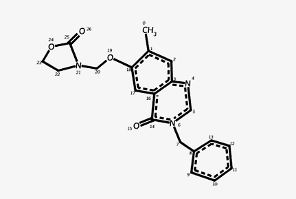 Cc1cc2ncn(Cc3ccccc3)c(=O)c2cc1OCN1CCOC1=O